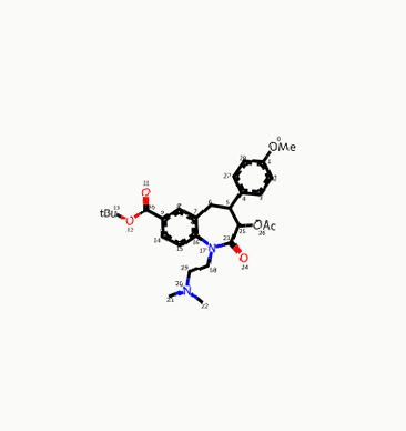 COc1ccc(C2Cc3cc(C(=O)OC(C)(C)C)ccc3N(CCN(C)C)C(=O)C2OC(C)=O)cc1